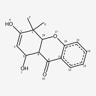 CC1(C)C(O)=CC(O)C2C(=O)c3ccccc3OC21